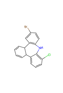 Clc1cccc2c1Nc1ccc(Br)cc1C1C=CC=CC21